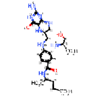 N[C@@H](CO)C(=O)O.Nc1nc2c(c(=O)[nH]1)NC(CNc1ccc(C(=O)NC(CCC(=O)O)C(=O)O)cc1)CN2